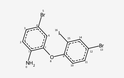 Nc1ccc(Br)cc1Oc1ccc(Br)cc1I